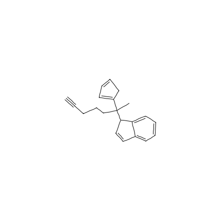 C#CCCCC(C)(C1=CC=CC1)C1C=Cc2ccccc21